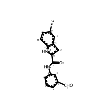 O=Cc1cccc(NC(=O)c2cc3cc(F)ccc3[nH]2)c1